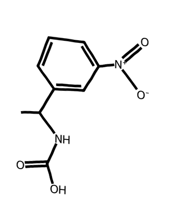 CC(NC(=O)O)c1cccc([N+](=O)[O-])c1